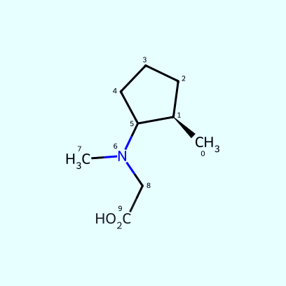 C[C@@H]1CCCC1N(C)CC(=O)O